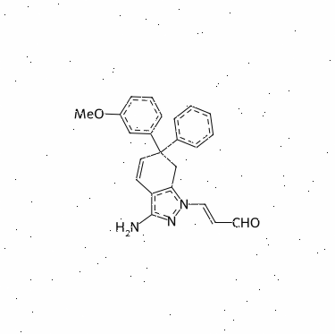 COc1cccc(C2(c3ccccc3)C=Cc3c(N)nn(C=CC=O)c3C2)c1